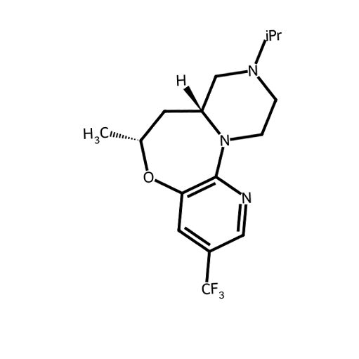 CC(C)N1CCN2c3ncc(C(F)(F)F)cc3O[C@H](C)C[C@@H]2C1